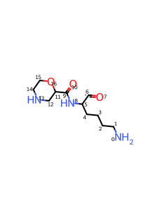 NCCCCC([C]=O)NC(=O)C1CNCCO1